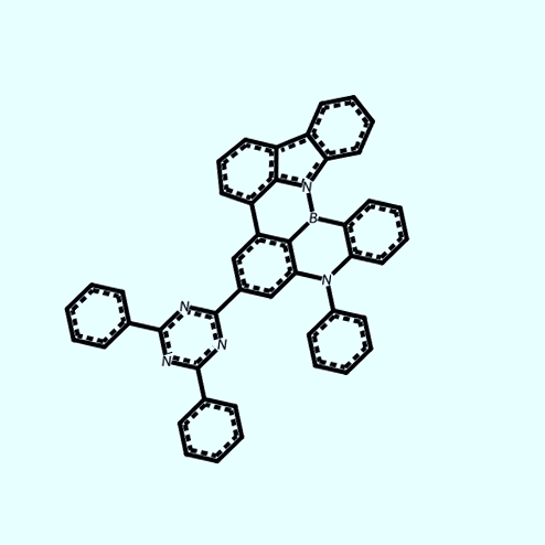 c1ccc(-c2nc(-c3ccccc3)nc(-c3cc4c5c(c3)N(c3ccccc3)c3ccccc3B5n3c5ccccc5c5cccc-4c53)n2)cc1